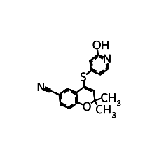 CC1(C)C=C(Sc2ccnc(O)c2)c2cc(C#N)ccc2O1